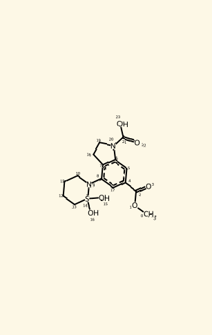 COC(=O)c1cc2c(c(N3CCCCS3(O)O)c1)CCN2C(=O)O